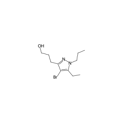 CCCn1nc(CCCO)c(Br)c1CC